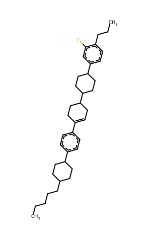 CCCCCC1CCC(c2ccc(C3=CCC(C4CCC(c5ccc(CCC)c(F)c5)CC4)CC3)cc2)CC1